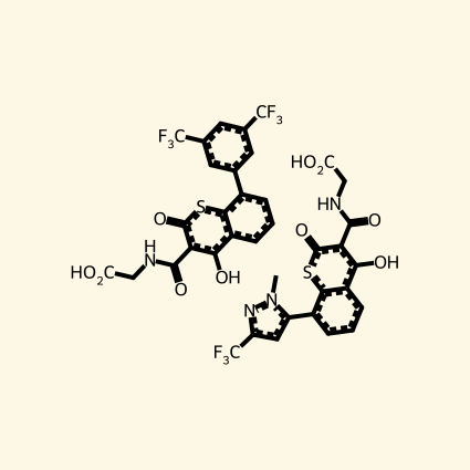 Cn1nc(C(F)(F)F)cc1-c1cccc2c(O)c(C(=O)NCC(=O)O)c(=O)sc12.O=C(O)CNC(=O)c1c(O)c2cccc(-c3cc(C(F)(F)F)cc(C(F)(F)F)c3)c2sc1=O